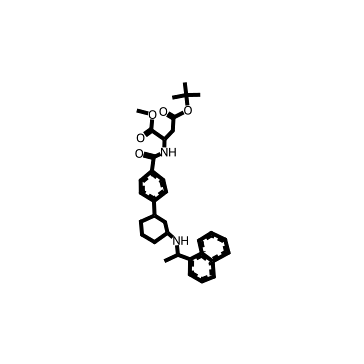 COC(=O)C(CC(=O)OC(C)(C)C)NC(=O)c1ccc(C2CCCC(NC(C)c3cccc4ccccc34)C2)cc1